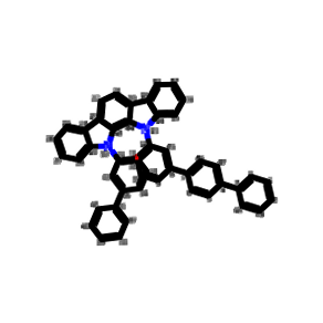 c1ccc(-c2ccc(-c3cccc(-n4c5ccccc5c5ccc6c7ccccc7n(-c7cccc(-c8ccccc8)c7)c6c54)c3)cc2)cc1